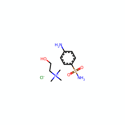 C[N+](C)(C)CCO.Nc1ccc(S(N)(=O)=O)cc1.[Cl-]